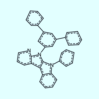 c1ccc(-c2cc(-c3ccccc3)cc(-n3c4ncccc4c4c5ccccc5n(-c5ccccc5)c43)c2)cc1